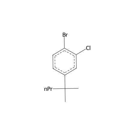 CCCC(C)(C)c1ccc(Br)c(Cl)c1